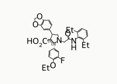 CCOc1ccc([C@@H]2[C@@H](C(=O)O)C(c3ccc4c(c3)OCO4)CN2CC(=O)Nc2c(CC)cccc2CC)cc1F